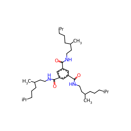 CC(C)CCCC(C)CCNC(=O)c1cc(C(=O)NCCC(C)CCCC(C)C)cc(C(=O)NCCC(C)CCCC(C)C)c1